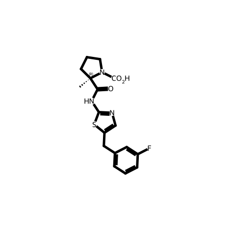 C[C@]1(C(=O)Nc2ncc(Cc3cccc(F)c3)s2)CCCN1C(=O)O